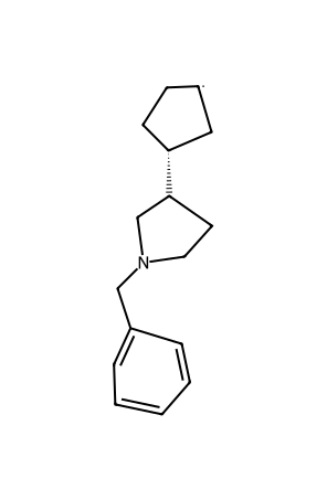 [CH]1CC[C@@H](C2CCN(Cc3ccccc3)C2)C1